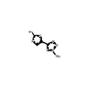 CC(C)(C)c1ncc(-c2nnn(C(C)(C)C)n2)s1